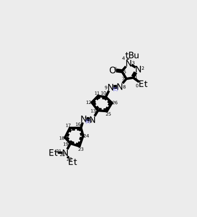 CCC1=NN(C(C)(C)C)C(=O)C1/N=N/c1ccc(/N=N/c2ccc(N(CC)CC)cc2)cc1